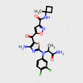 CC(C(N)=O)N(c1ccc(F)c(F)c1)c1nc(N)c(C(=O)c2cc(C(=O)NC3(C)CCC3)no2)s1